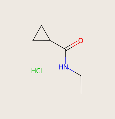 CCNC(=O)C1CC1.Cl